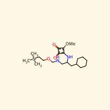 COc1c(NC(CNCOCC[Si](C)(C)C)CC2CCCCC2)c(=O)c1=O